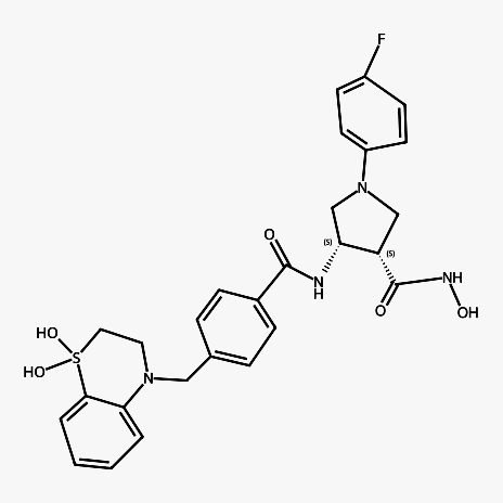 O=C(N[C@@H]1CN(c2ccc(F)cc2)C[C@@H]1C(=O)NO)c1ccc(CN2CCS(O)(O)c3ccccc32)cc1